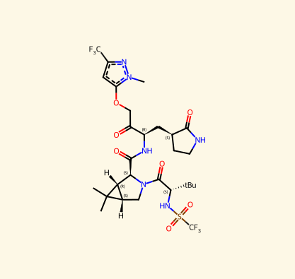 Cn1nc(C(F)(F)F)cc1OCC(=O)[C@@H](C[C@@H]1CCNC1=O)NC(=O)[C@@H]1[C@@H]2[C@H](CN1C(=O)[C@@H](NS(=O)(=O)C(F)(F)F)C(C)(C)C)C2(C)C